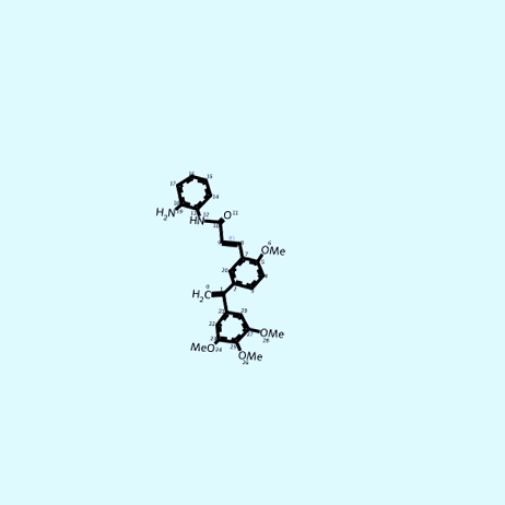 C=C(c1ccc(OC)c(/C=C/C(=O)Nc2ccccc2N)c1)c1cc(OC)c(OC)c(OC)c1